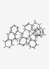 O=c1c2c(oc3cccc(N4c5ccccc5C5(c6ccccc6-c6ccccc65)C5C6=C(C=CC54)OCC4C=CC=CC64)c13)=CCCC=2